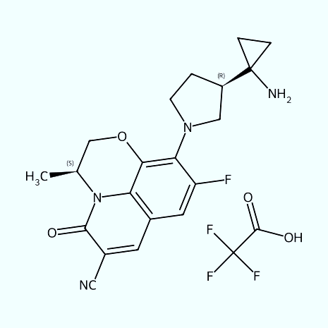 C[C@H]1COc2c(N3CC[C@@H](C4(N)CC4)C3)c(F)cc3cc(C#N)c(=O)n1c23.O=C(O)C(F)(F)F